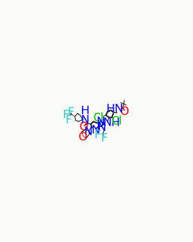 CC(C)(C)C(=O)NCc1ccc(Cl)c(Nc2nc3cc(C(=O)N[C@H]4CC[C@H](C(F)(F)F)CC4)c(N4CCOCC4)nc3n2CC(F)F)c1Cl